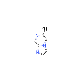 [2H]c1cn2ccnc2cn1